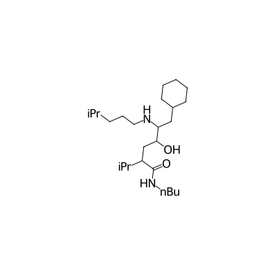 CCCCNC(=O)C(CC(O)C(CC1CCCCC1)NCCCC(C)C)C(C)C